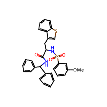 COc1cccc(S(=O)(=O)NC(Cc2csc3ccccc23)C(=O)NC(c2ccccc2)c2ccccc2)c1